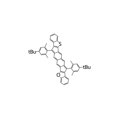 Cc1cc(C(C)(C)C)cc(C)c1C1=c2cc3cc4c(cc3cc2-c2oc3ccccc3c21)=C(c1c(C)cc(C(C)(C)C)cc1C)c1c-4sc2ccccc12